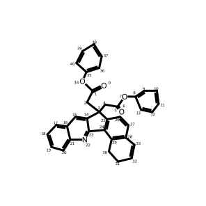 O=C(CC1(CC(=O)Oc2ccccc2)c2cc3ccccc3nc2-c2c1ccc1c2CCC=C1)Oc1ccccc1